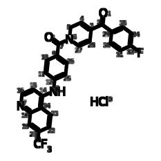 Cl.O=C(C1=CCN(C(=O)c2ccc(Nc3ccnc4cc(C(F)(F)F)ccc34)cc2)C=C1)c1ccc(F)cc1